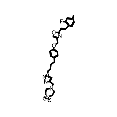 Cc1ccc(/C=C/c2nc(COc3ccc(CCCCn4cc(CN5CCS(=O)(=O)CC5)nn4)cc3)co2)c(F)c1